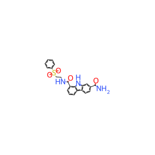 NC(=O)c1ccc2c(c1)[nH]c1c(C(=O)NCCS(=O)(=O)c3ccccc3)cccc12